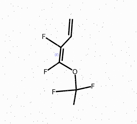 C=C/C(F)=C(/F)OC(C)(F)F